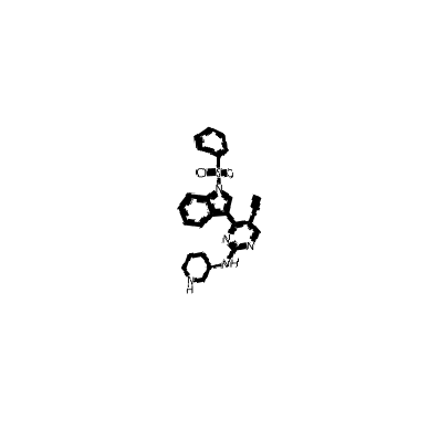 C#Cc1cnc(N[C@@H]2CCCNC2)nc1-c1cn(S(=O)(=O)c2ccccc2)c2ccccc12